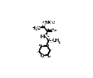 CN[C@@H](C)C(=O)N[C@H](C)C1CCOCC1